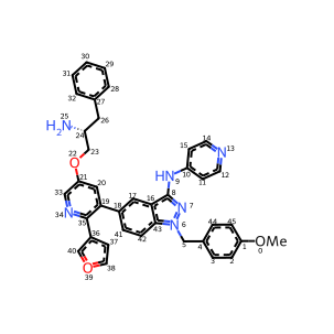 COc1ccc(Cn2nc(Nc3ccncc3)c3cc(-c4cc(OC[C@H](N)Cc5ccccc5)cnc4-c4ccoc4)ccc32)cc1